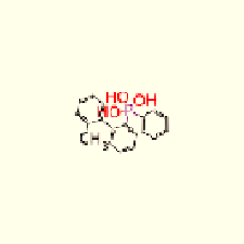 Cc1ccccc1-c1ccccc1P(O)(O)(O)c1ccccc1